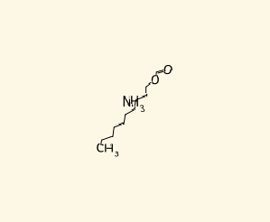 CCCCCCCCCCOC=O.N